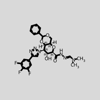 CN(C)C=NNC(=O)[C@@H]1O[C@@H]2COC(c3ccccc3)O[C@@H]2[C@H](n2cc(-c3cc(F)c(F)c(F)c3)nn2)[C@H]1O